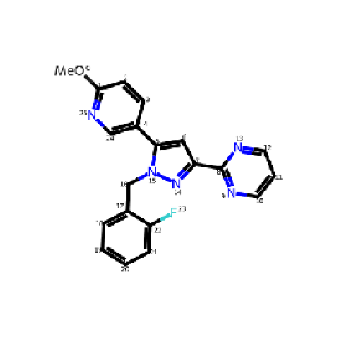 COc1ccc(-c2cc(-c3ncccn3)nn2Cc2ccccc2F)cn1